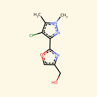 Cc1c(Cl)c(-c2nc(CO)co2)nn1C